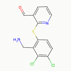 NCc1c(Sc2ncccc2C=O)ccc(Cl)c1Cl